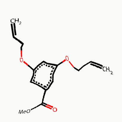 C=CCOc1cc(OCC=C)cc(C(=O)OC)c1